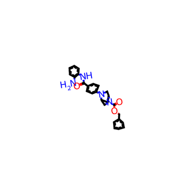 Nc1ccccc1NC(=O)c1ccc(N2CC3CC2CN3C(=O)OCc2ccccc2)cc1